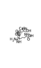 N=C(N)NCCCC(N)C(=O)O.O=P([O-])([O-])OCC(O)CO.[Ca+2]